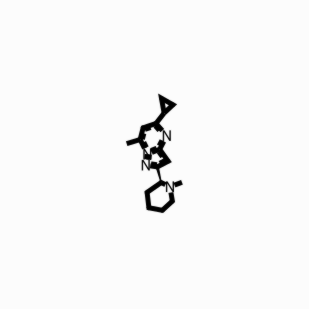 Cc1cc(C2CC2)nc2cc([C@@H]3CCCCN3C)nn12